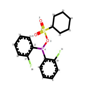 O=S(=O)(O[I+](c1ccccc1F)c1ccccc1F)C1CCCCC1